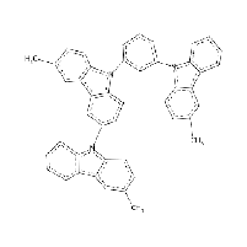 Cc1ccc2c(c1)c1ccccc1n2-c1cccc(-n2c3ccc(C)cc3c3cc(-n4c5ccccc5c5cc(C)ccc54)ccc32)c1